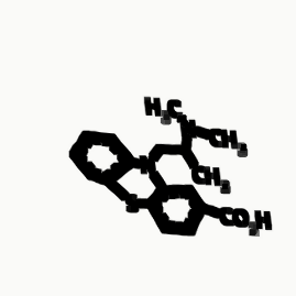 CC(CN1c2ccccc2Sc2ccc(C(=O)O)cc21)N(C)C